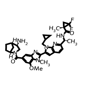 COc1cc(C(=O)N2C[C@H](N)[C@@H]3CC[C@H]2C3)cc2nc(-c3cc4ccc([C@@H](C)NC(=O)[C@]5(C)CC5(F)F)nc4n3CC3CC3)n(C)c12